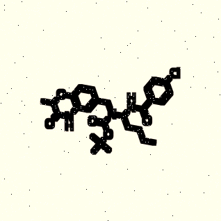 CCCCC(NC(=O)c1ccc(Cl)cc1)N(Cc1ccc2c(c1)NC(=O)C(C)O2)C(=O)OC(C)(C)C